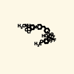 CNC(=O)c1ccc(N2CCC(CC3CCN(C(=O)[C@](O)(c4cccc(OC)c4)C(F)(F)C(F)(F)F)CC3)CC2)cc1Cl